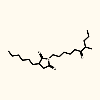 CCCCCCC1CC(=O)N(CCCCCC(=O)C(C)CCC)C1=O